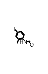 Cc1cc(I)ccc1NC=O